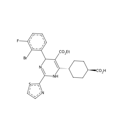 CCOC(=O)C1=C([C@H]2CC[C@H](C(=O)O)CC2)NC(c2nccs2)=NC1c1cccc(F)c1Br